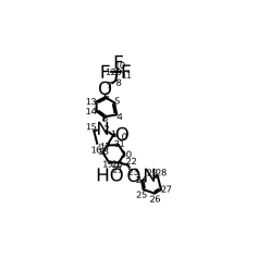 O=C1N(c2ccc(OCC(F)(F)F)cc2)CC[C@]12CC[C@@](O)(COc1ccccn1)CC2